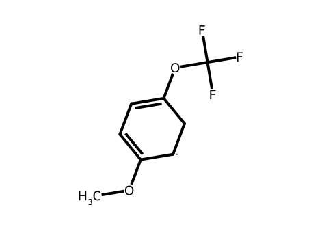 COC1=CC=C(OC(F)(F)F)C[CH]1